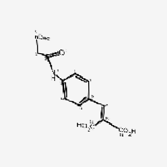 CCCCCCCCCCCC(=O)Nc1ccc(C=C(C(=O)O)C(=O)O)cc1